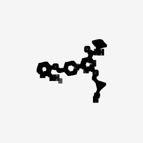 N#C[C@@H]1C[C@@H]1COc1nc(C(=O)NC23CC2C3)cc(N2CCC(COc3cccnc3N)CC2)n1